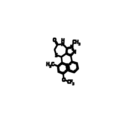 Cc1cc(OC(F)(F)F)ccc1C1SCC(=O)Nc2c1c(-c1ccccn1)nn2C